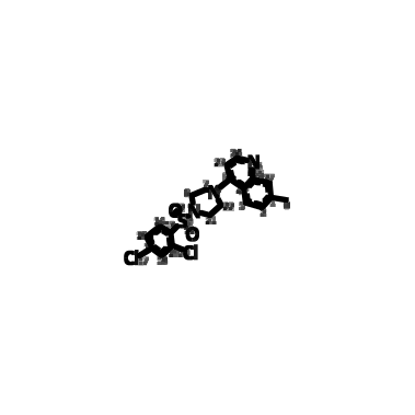 Cc1ccc2c(N3CCN(S(=O)(=O)c4ccc(Cl)cc4Cl)CC3)ccnc2c1